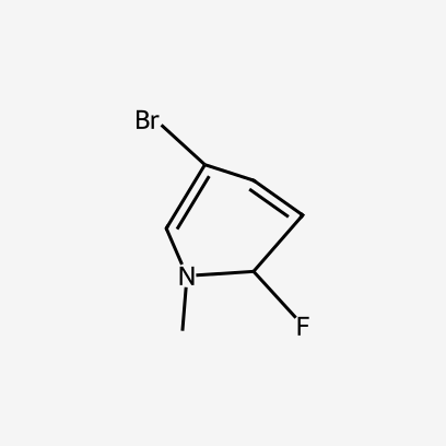 CN1C=C(Br)C=CC1F